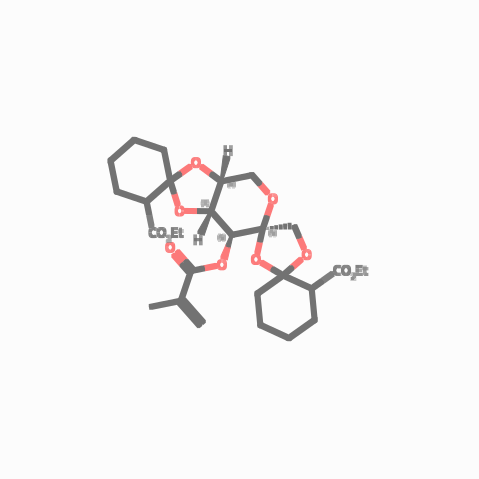 C=C(C)C(=O)O[C@H]1[C@@H]2OC3(CCCCC3C(=O)OCC)O[C@@H]2CO[C@]12COC1(CCCCC1C(=O)OCC)O2